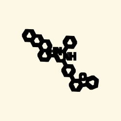 C1=C(c2cccc3c2ccc2cc4ccccc4cc23)NC(c2ccccc2)NC1c1ccc(-c2cccc3c2oc2ccccc23)cc1